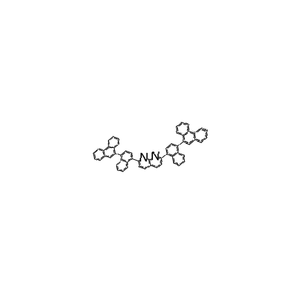 c1ccc2c(c1)cc(-c1ccc(-c3ccc4ccc(-c5ccc(-c6cc7ccccc7c7ccccc67)c6ccccc56)nc4n3)c3ccccc13)c1ccccc12